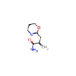 C=C(CC1=NCCCO1)C(N)=O